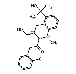 C[C@H]1c2cccc(C(C)(C)O)c2C[C@H](CO)N1C(=O)Cc1ccccc1Cl